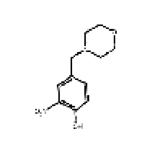 O=[N+]([O-])c1cc(CN2CCOCC2)ccc1O